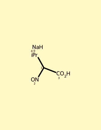 CC(C)C(N=O)C(=O)O.[NaH]